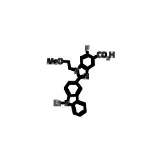 CCn1c2ccccc2c2cc(-c3nc4cc(C(=O)O)c(F)cc4n3CCOC)ccc21